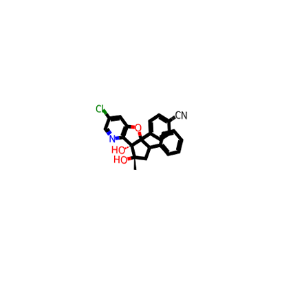 C[C@]1(O)CC(c2ccccc2)C2(c3ccc(C#N)cc3)Oc3cc(Cl)cnc3[C@@]21O